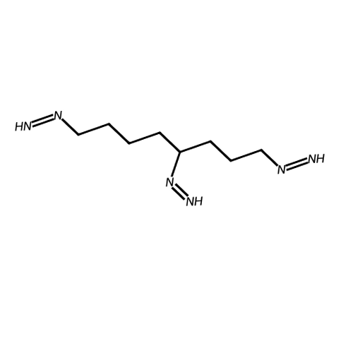 N=NCCCCC(CCCN=N)N=N